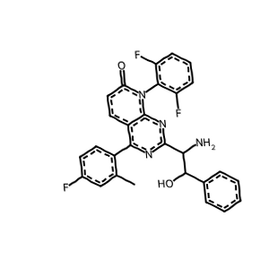 Cc1cc(F)ccc1-c1nc(C(N)C(O)c2ccccc2)nc2c1ccc(=O)n2-c1c(F)cccc1F